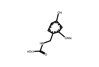 CCCCCCCCC(=O)NCc1ccc(O)cc1OC